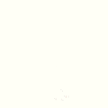 CCCCCCCCCCCCCCCCC(CC)N1CN=NN1